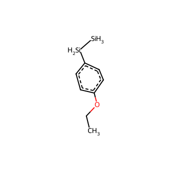 CCOc1ccc([SiH2][SiH3])cc1